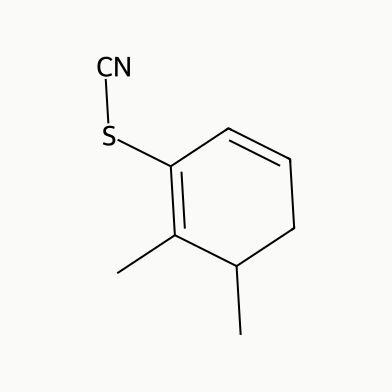 CC1=C(SC#N)C=CCC1C